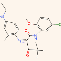 CCNc1ccc(/N=C(\C(=O)Nc2cc(Cl)ccc2OC)C(=O)C(C)(C)C)c(C)c1